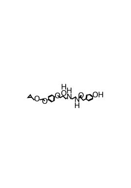 O=C(Cc1ccc(O)cc1)NCCNCC(O)COc1ccc(OCCOCC2CC2)cc1